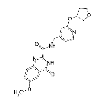 COc1ccc2nc(C(=O)NCc3ccnc(OC4CCOC4)c3)[nH]c(=O)c2c1